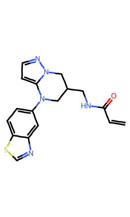 C=CC(=O)NCC1CN(c2ccc3scnc3c2)c2ccnn2C1